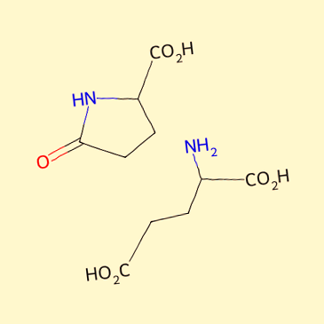 NC(CCC(=O)O)C(=O)O.O=C1CCC(C(=O)O)N1